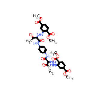 COC(=O)c1ccc(C(=O)OC)c(/N=N/C(C(C)=O)C(=O)Nc2ccc(NC(=O)C(NNc3cc(C(=O)OC)ccc3C(=O)OC)C(C)=O)cc2)c1